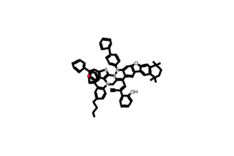 C#C/C(=C\C1=C2CN(c3ccc(CCCC)cc3-c3ccccc3)c3c(sc4cc(-c5ccccc5)ccc34)B2N(c2ccc(-c3ccccc3)cc2)c2cc3oc4cc5c(cc4c3cc21)C(C)(C)CCC5(C)C)c1ccccc1O